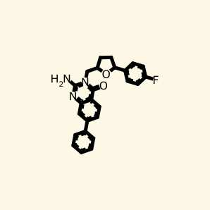 Nc1nc2cc(-c3ccccc3)ccc2c(=O)n1CC1CCC(c2ccc(F)cc2)O1